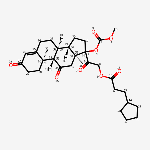 COC(=O)O[C@]1(C(=O)COC(=O)CCC2CCCC2)CC[C@H]2[C@@H]3CCC4=CC(=O)CC[C@]4(C)[C@H]3C(=O)C[C@@]21C